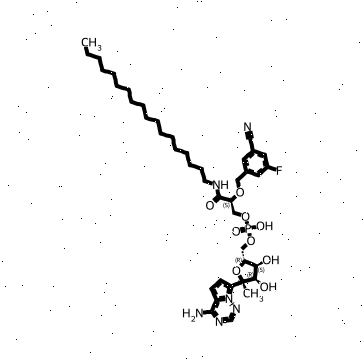 CCCCCCCCCCCCCCCCCCNC(=O)[C@H](COP(=O)(O)OC[C@H]1O[C@@](C)(c2ccc3c(N)ncnn23)[C@H](O)[C@@H]1O)OCc1cc(F)cc(C#N)c1